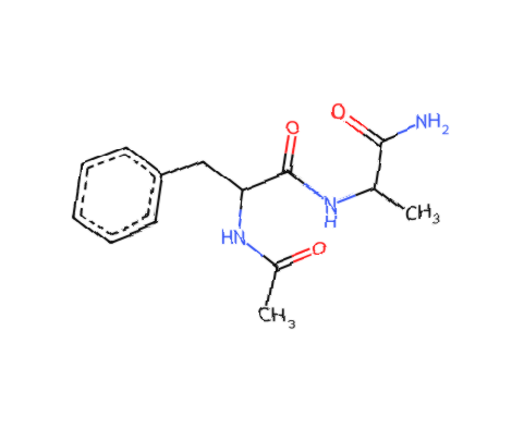 CC(=O)NC(Cc1ccccc1)C(=O)NC(C)C(N)=O